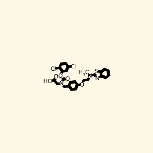 CN(CCOc1ccc(CN(CC(=O)O)C(=O)Oc2cc(Cl)ccc2Cl)cc1)c1nc2ccccc2s1